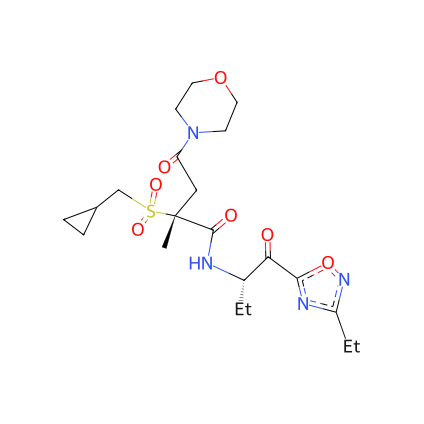 CCc1noc(C(=O)[C@H](CC)NC(=O)[C@@](C)(CC(=O)N2CCOCC2)S(=O)(=O)CC2CC2)n1